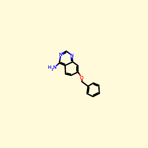 Nc1ncnc2cc(OCc3ccccc3)ccc12